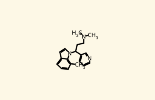 Cc1cccc2ccn(C(CCN(C)C)c3cccnc3)c12